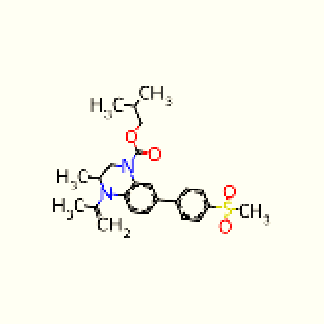 C=C(C)N1c2ccc(-c3ccc(S(C)(=O)=O)cc3)cc2N(C(=O)OCC(C)C)C[C@@H]1C